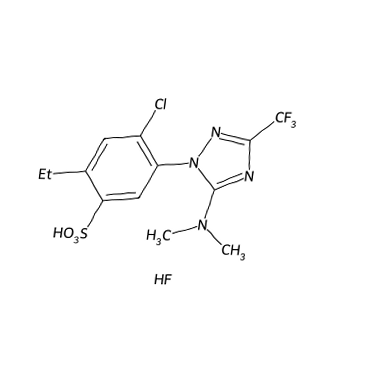 CCc1cc(Cl)c(-n2nc(C(F)(F)F)nc2N(C)C)cc1S(=O)(=O)O.F